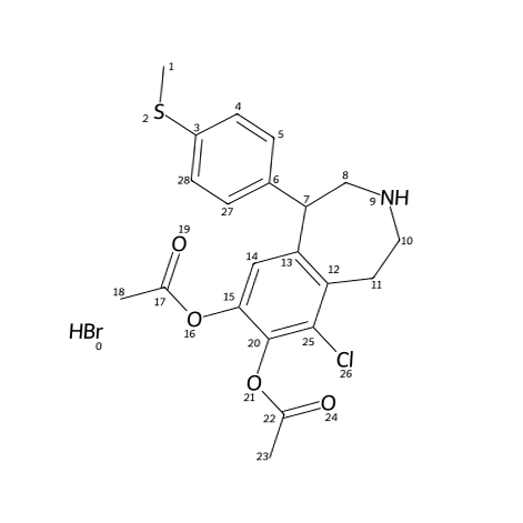 Br.CSc1ccc(C2CNCCc3c2cc(OC(C)=O)c(OC(C)=O)c3Cl)cc1